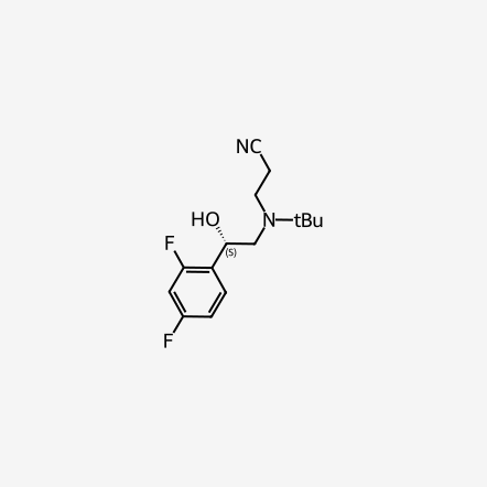 CC(C)(C)N(CCC#N)C[C@@H](O)c1ccc(F)cc1F